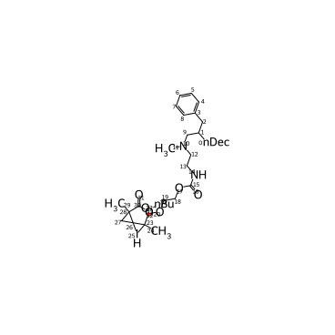 CCCCCCCCCCC(Cc1ccccc1)CN(C)CCNC(=O)OCCOC(=O)C1(C)[IH]C12CC2(C)C(=O)OCCCC